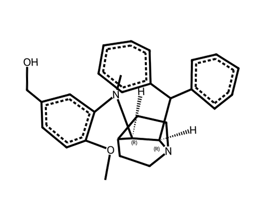 COc1ccc(CO)cc1N(C)[C@@H]1C2CCN(CC2)[C@@H]1C(c1ccccc1)c1ccccc1